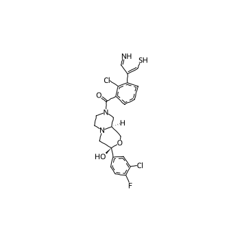 N=C/C(=C\S)c1cccc(C(=O)N2CCN3C[C@@](O)(c4ccc(F)c(Cl)c4)OC[C@@H]3C2)c1Cl